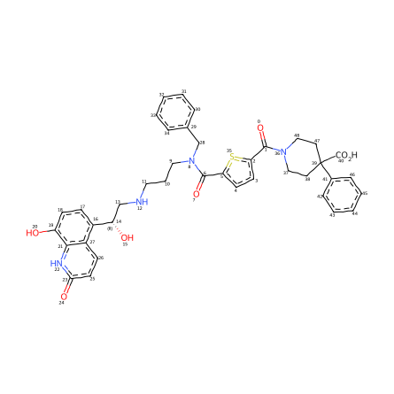 O=C(c1ccc(C(=O)N(CCCNC[C@H](O)c2ccc(O)c3[nH]c(=O)ccc23)Cc2ccccc2)s1)N1CCC(C(=O)O)(c2ccccc2)CC1